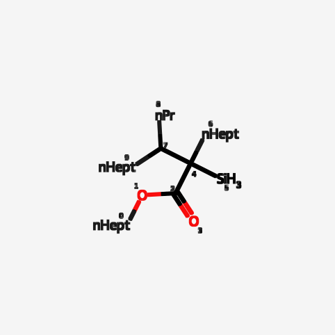 CCCCCCCOC(=O)C([SiH3])(CCCCCCC)C(CCC)CCCCCCC